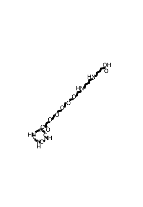 O=C(O)CCCCNCCCCCNCCCOCCOCCOCCOCCOCCC(=O)ON1CCNCCNCCNCC1